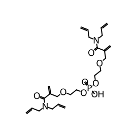 C=CCN(CC=C)C(=O)C(=C)COCCOP(=O)(O)OCCOCC(=C)C(=O)N(CC=C)CC=C